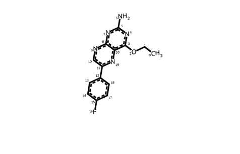 CCOc1nc(N)nc2ncc(-c3ccc(F)cc3)nc12